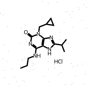 CCCNc1nc(=O)n(CC2CC2)c2nc(C(C)C)[nH]c12.Cl